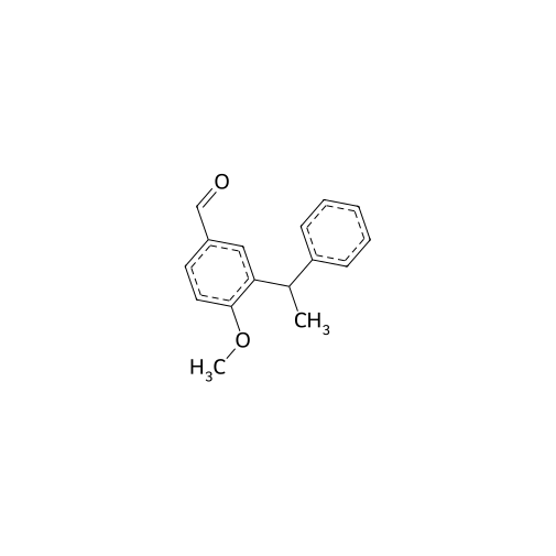 COc1ccc(C=O)cc1C(C)c1ccccc1